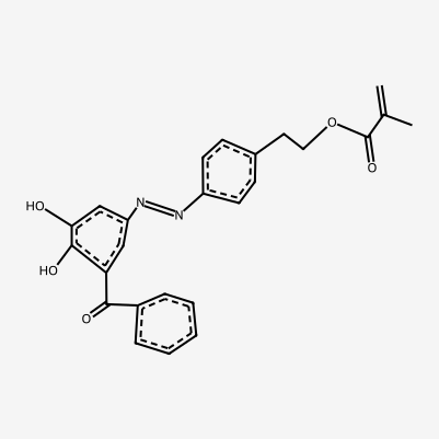 C=C(C)C(=O)OCCc1ccc(N=Nc2cc(O)c(O)c(C(=O)c3ccccc3)c2)cc1